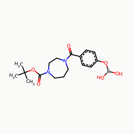 CC(C)(C)OC(=O)N1CCCN(C(=O)c2ccc(OB(O)O)cc2)CC1